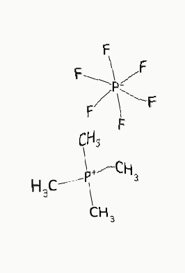 C[P+](C)(C)C.F[P-](F)(F)(F)(F)F